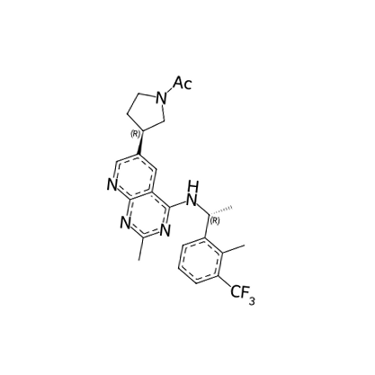 CC(=O)N1CC[C@H](c2cnc3nc(C)nc(N[C@H](C)c4cccc(C(F)(F)F)c4C)c3c2)C1